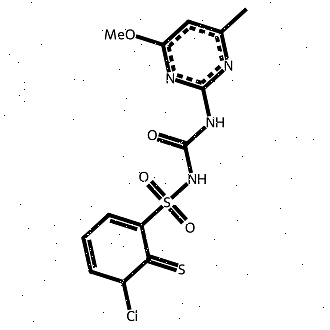 COc1cc(C)nc(NC(=O)NS(=O)(=O)C2=CC=CC(Cl)C2=S)n1